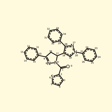 O=C(c1cccs1)N1N=C(c2ccccc2)CC1c1cn(-c2ccccc2)nc1-c1ccccc1